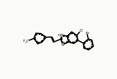 CC(=O)c1ccccc1-c1cc2nc(C=Cc3ccc(C(F)(F)F)cc3)[nH]c2cc1Cl